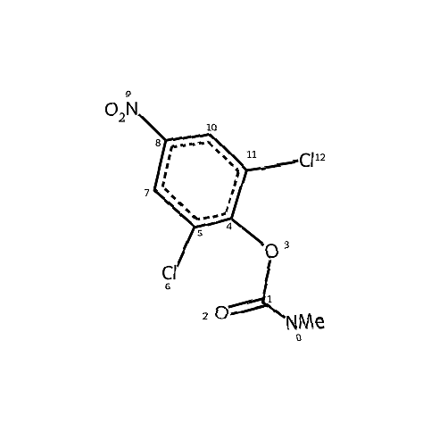 CNC(=O)Oc1c(Cl)cc([N+](=O)[O-])cc1Cl